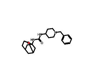 O=C(NC1CCN(Cc2ccccc2)CC1)NC12CC3CC(CC(C3)O1)C2